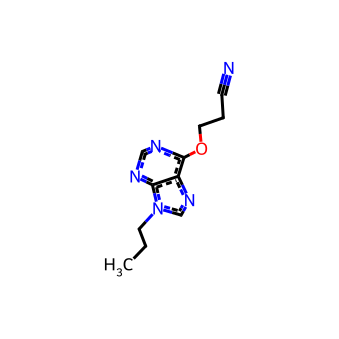 CCCn1cnc2c(OCCC#N)ncnc21